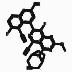 C#Cc1c(F)ccc2cc(O)cc(-c3nc(C#C)c4c(N5C6CCC5CNC6)nc(OC)nc4c3F)c12